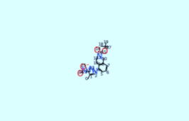 Cc1cn(-c2cccc3c2CCN(C(=O)OC(C)(C)C)C3)nc1[N+](=O)[O-]